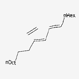 C=C.CCCCCCC=CC=CCCCCCCCCCC